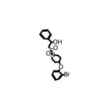 O=S(=O)(CC(O)c1ccccc1)N1CCC(Oc2ccccc2Br)CC1